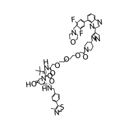 Cc1ncsc1-c1ccc(CNC(=O)[C@@H]2C[C@@H](O)CN2C(=O)[C@@H](NC(=O)COCCOCCOCC(=O)N2CCC(n3cc(-c4cnc5cccc(-c6cc(F)c(CN7CCOCC7)c(F)c6)c5n4)cn3)CC2)C(C)(C)C)cc1